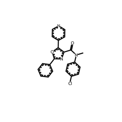 CN(C(=O)c1nc(-c2ccccc2)oc1-c1ccncc1)c1ccc(Cl)cc1